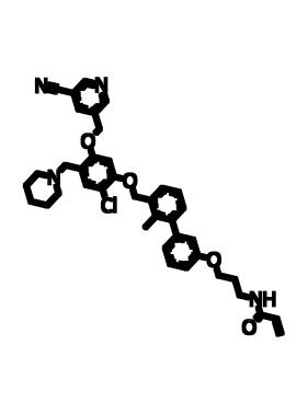 C=CC(=O)NCCCOc1cccc(-c2cccc(COc3cc(OCc4cncc(C#N)c4)c(CN4CCCCC4)cc3Cl)c2C)c1